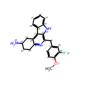 COc1ccc(Cc2nc3c(c4c2[nH]c2ccccc24)CC(N)CC3)cc1F